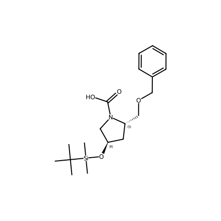 CC(C)(C)[Si](C)(C)O[C@@H]1C[C@@H](COCc2ccccc2)N(C(=O)O)C1